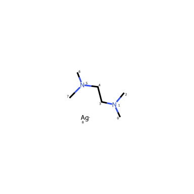 CN(C)CCN(C)C.[Ag]